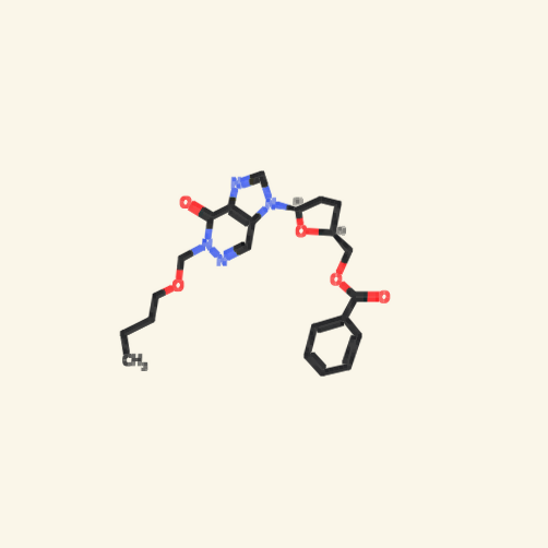 CCCCOCn1ncc2c(ncn2[C@H]2CC[C@@H](COC(=O)c3ccccc3)O2)c1=O